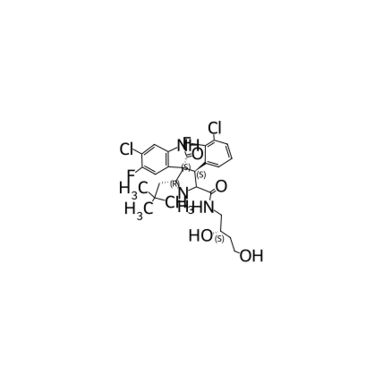 CC(C)(C)C[C@H]1NC(C(=O)NC[C@@H](O)CCO)[C@H](c2cccc(Cl)c2F)[C@@]12C(=O)Nc1cc(Cl)c(F)cc12